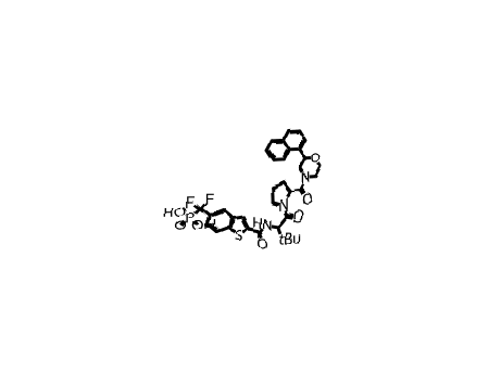 CC(C)(C)C(NC(=O)c1cc2cc(C(F)(F)P(=O)(O)O)ccc2s1)C(=O)N1CCC[C@H]1C(=O)N1CCOC(c2cccc3ccccc23)C1